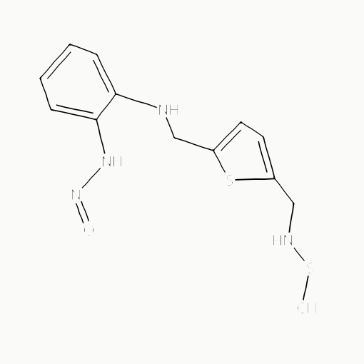 CSNCc1ccc(CNc2ccccc2NN=O)s1